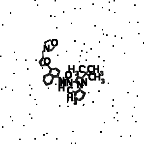 Cc1ccccc1-n1nc(C(C)(C)C)cc1NC(=O)Nc1ccc(-c2ccc(CN3CCOCC3)o2)c2ccccc12